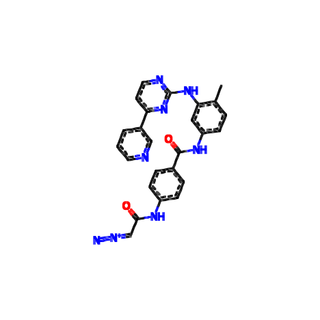 Cc1ccc(NC(=O)c2ccc(NC(=O)C=[N+]=[N-])cc2)cc1Nc1nccc(-c2cccnc2)n1